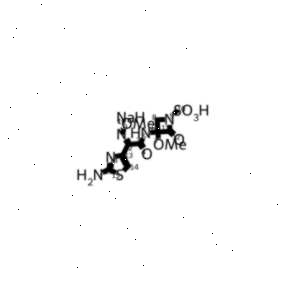 CON=C(C(=O)NC1(OC)CN(S(=O)(=O)O)C1=O)c1csc(N)n1.[NaH]